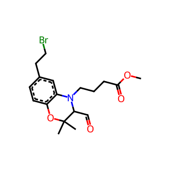 COC(=O)CCCN1c2cc(CCBr)ccc2OC(C)(C)C1C=O